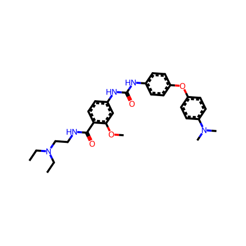 CCN(CC)CCNC(=O)c1ccc(NC(=O)Nc2ccc(Oc3ccc(N(C)C)cc3)cc2)cc1OC